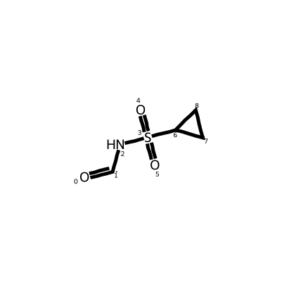 O=[C]NS(=O)(=O)C1CC1